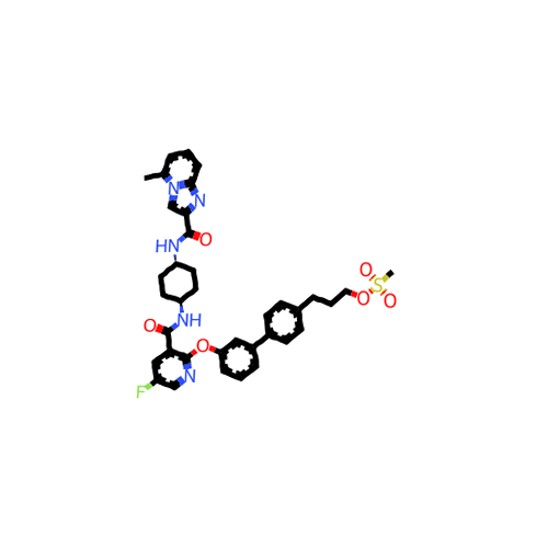 Cc1cccc2nc(C(=O)N[C@H]3CC[C@H](NC(=O)c4cc(F)cnc4Oc4cccc(-c5ccc(CCCOS(C)(=O)=O)cc5)c4)CC3)cn12